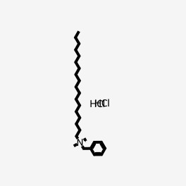 CCCCCCCCCCCCCCCCCC[N+](C)(C)Cc1ccccc1.Cl.Cl